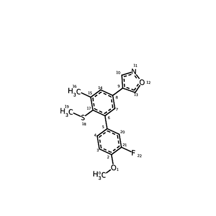 COc1ccc(-c2cc(-c3cnoc3)cc(C)c2SC)cc1F